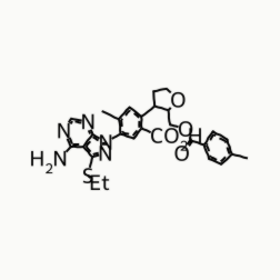 CCSc1nn(-c2cc(C(=O)O)c(C3CCOC3COC(=O)c3ccc(C)cc3)cc2C)c2ncnc(N)c12